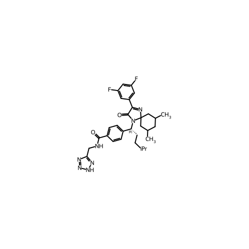 CC(C)CC[C@H](c1ccc(C(=O)NCc2nn[nH]n2)cc1)N1C(=O)C(c2cc(F)cc(F)c2)=NC12CC(C)CC(C)C2